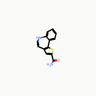 NC(=O)c1cc2c(s1)-c1ccccc1NC=C2